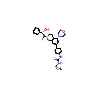 CCNC(=O)Nc1ccc(-c2cc3c(c(N4CCOCC4)c2)CCN(C(=O)[C@H](O)c2ccccc2)C3)cc1